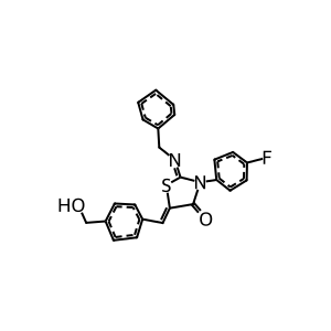 O=C1/C(=C/c2ccc(CO)cc2)S/C(=N\Cc2ccccc2)N1c1ccc(F)cc1